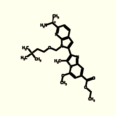 CCOC(=O)c1cc(OC)n2c(C)c(-c3cc4ccc([C@@H](C)N)nc4n3COCC[Si](C)(C)C)nc2c1